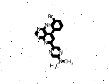 CN(C)c1cnc(-c2cc(-c3cccc(Br)c3)c3c(N)ncnc3n2)cn1